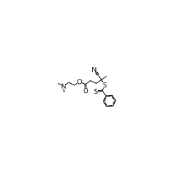 CN(C)CCOC(=O)CCC(C)(C#N)SC(=S)c1ccccc1